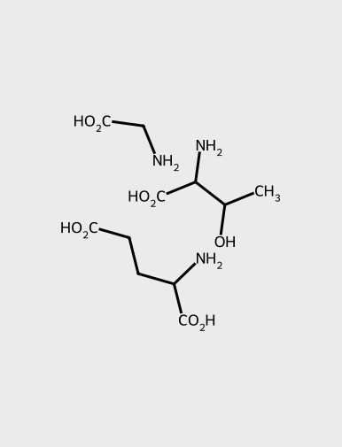 CC(O)C(N)C(=O)O.NC(CCC(=O)O)C(=O)O.NCC(=O)O